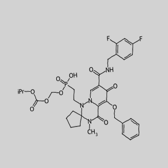 CC(C)OC(=O)OCOP(=O)(O)CCN1n2cc(C(=O)NCc3ccc(F)cc3F)c(=O)c(OCc3ccccc3)c2C(=O)N(C)C12CCCC2